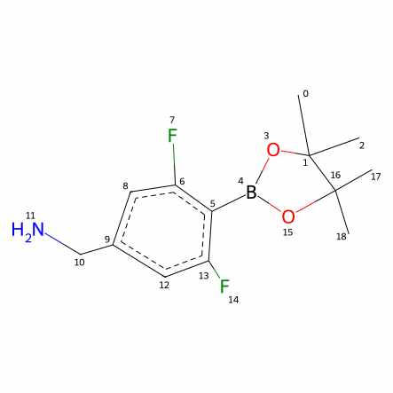 CC1(C)OB(c2c(F)cc(CN)cc2F)OC1(C)C